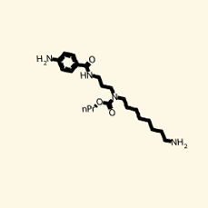 CCCOC(=O)N(CCCCCCCCN)CCCNC(=O)c1ccc(N)cc1